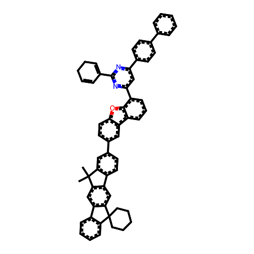 CC1(C)c2cc(-c3ccc4oc5c(-c6cc(-c7ccc(-c8ccccc8)cc7)nc(C7=CCCC=C7)n6)cccc5c4c3)ccc2-c2cc3c(cc21)-c1ccccc1C31CCCCC1